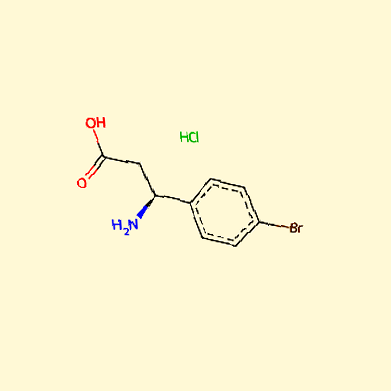 Cl.N[C@@H](CC(=O)O)c1ccc(Br)cc1